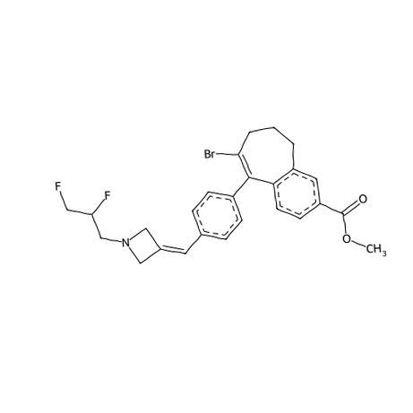 COC(=O)c1ccc2c(c1)CCCC(Br)=C2c1ccc(C=C2CN(CC(F)CF)C2)cc1